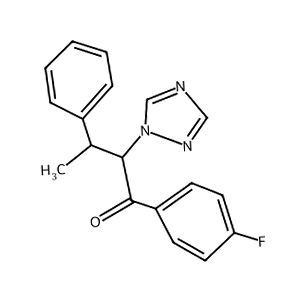 CC(c1ccccc1)C(C(=O)c1ccc(F)cc1)n1cncn1